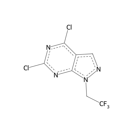 FC(F)(F)Cn1ncc2c(Cl)nc(Cl)nc21